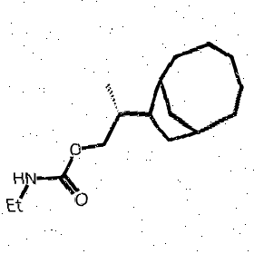 CCNC(=O)OC[C@H](C)C1CC2CCCCCC1C2